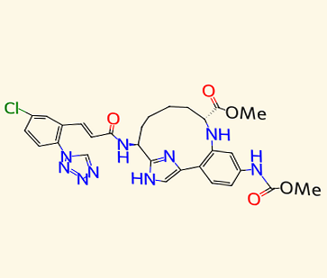 COC(=O)Nc1ccc2c(c1)N[C@@H](C(=O)OC)CCCC[C@H](NC(=O)C=Cc1cc(Cl)ccc1-n1cnnn1)c1nc-2c[nH]1